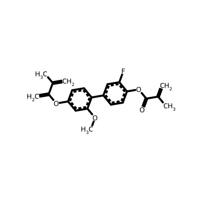 C=C(C)C(=C)Oc1ccc(-c2ccc(OC(=O)C(=C)C)c(F)c2)c(OC)c1